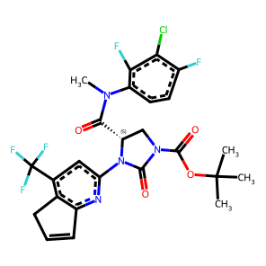 CN(C(=O)[C@@H]1CN(C(=O)OC(C)(C)C)C(=O)N1c1cc(C(F)(F)F)c2c(n1)C=CC2)c1ccc(F)c(Cl)c1F